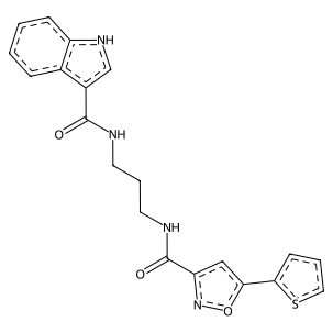 O=C(NCCCNC(=O)c1c[nH]c2ccccc12)c1cc(-c2cccs2)on1